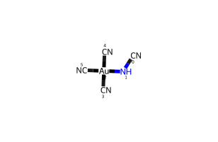 N#C[NH][Au]([C]#N)([C]#N)[C]#N